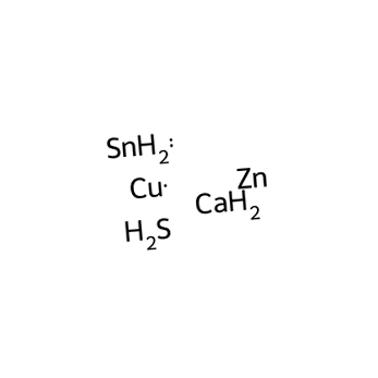 S.[CaH2].[Cu].[SnH2].[Zn]